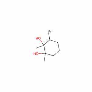 CC(C)C1CCCC(C)(O)C1(C)O